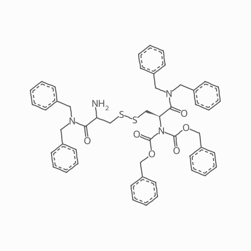 NC(CSSC[C@@H](C(=O)N(Cc1ccccc1)Cc1ccccc1)N(C(=O)OCc1ccccc1)C(=O)OCc1ccccc1)C(=O)N(Cc1ccccc1)Cc1ccccc1